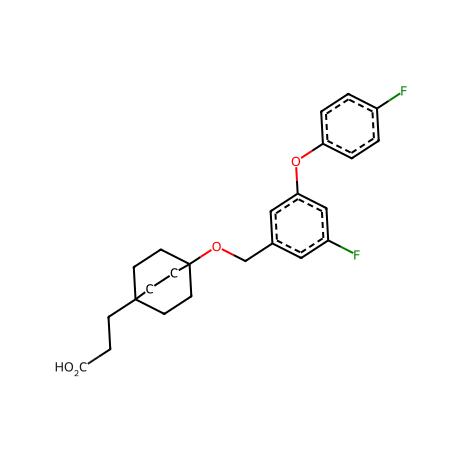 O=C(O)CCC12CCC(OCc3cc(F)cc(Oc4ccc(F)cc4)c3)(CC1)CC2